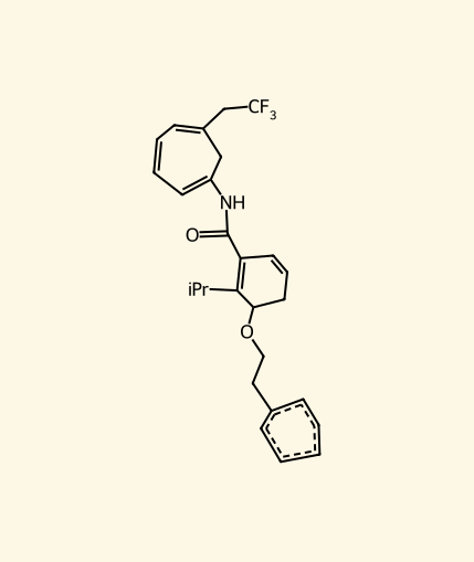 CC(C)C1=C(C(=O)NC2=CC=CC=C(CC(F)(F)F)C2)C=CCC1OCCc1ccccc1